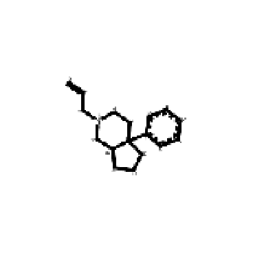 C=CCN1CCC2(c3ccccc3)CCCC2C1